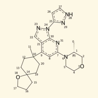 C[C@@H]1COCCN1c1cc(C2(C)CCC3(CCCO3)CC2)c2cnn(-c3cc[nH]n3)c2n1